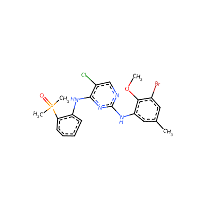 COc1c(Br)cc(C)cc1Nc1ncc(Cl)c(Nc2ccccc2P(C)(C)=O)n1